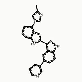 Cc1cn(-c2cccc3[nH]c(-c4n[nH]c5ccc(-c6cccnc6)nc45)nc23)cn1